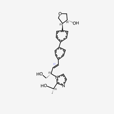 C[C@H](O)c1nccn1[C@@H](/C=C/c1ccc(-c2ccc([C@H]3COC[C@@H]3O)cc2)cc1)CO